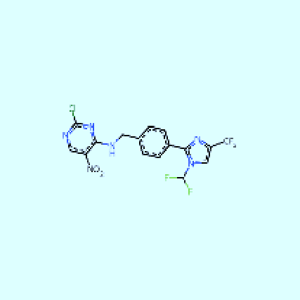 O=[N+]([O-])c1cnc(Cl)nc1NCc1ccc(-c2nc(C(F)(F)F)cn2C(F)F)cc1